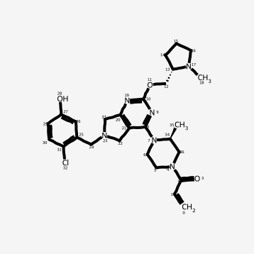 C=CC(=O)N1CCN(c2nc(OC[C@@H]3CCCN3C)nc3c2CN(Cc2cc(O)ccc2Cl)C3)[C@@H](C)C1